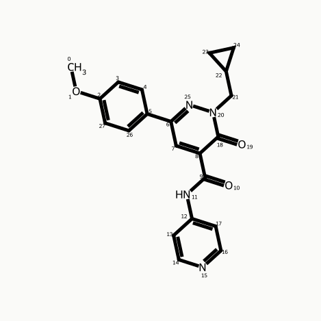 COc1ccc(-c2cc(C(=O)Nc3ccncc3)c(=O)n(CC3CC3)n2)cc1